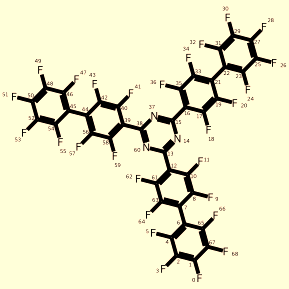 Fc1c(F)c(F)c(-c2c(F)c(F)c(-c3nc(-c4c(F)c(F)c(-c5c(F)c(F)c(F)c(F)c5F)c(F)c4F)nc(-c4c(F)c(F)c(-c5c(F)c(F)c(F)c(F)c5F)c(F)c4F)n3)c(F)c2F)c(F)c1F